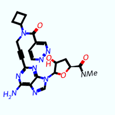 CNC(=O)[C@@H]1CC(O)C(n2cnc3c(N)nc(C#CCN(C(=O)c4ccnnc4)C4CCC4)nc32)O1